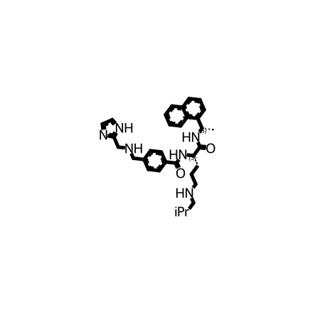 CC(C)CNCCC[C@H](NC(=O)c1ccc(CNCc2ncc[nH]2)cc1)C(=O)N[C@@H](C)c1cccc2ccccc12